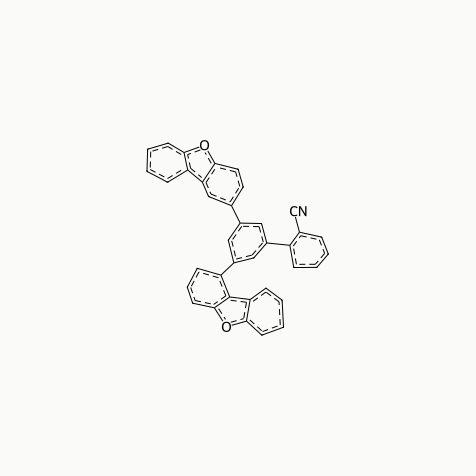 N#Cc1ccccc1-c1cc(-c2ccc3oc4ccccc4c3c2)cc(-c2cccc3oc4ccccc4c23)c1